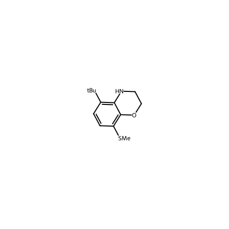 CSc1ccc(C(C)(C)C)c2c1OCCN2